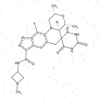 C[C@H]1CN2c3c(cc4c(C(=O)NC5CN(C)C5)noc4c3F)CC3(C(=O)NC(=O)NC3=O)[C@@H]2[C@@H](C)O1